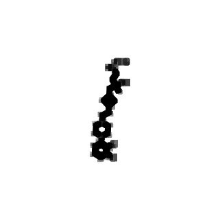 CC(O)(CCNC=O)CC1CC(CCN2CCN(c3cccc(Cl)c3Cl)CC2)C1